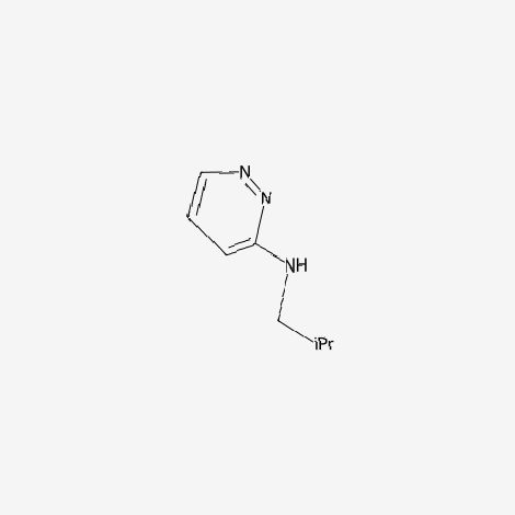 CC(C)CNc1cccnn1